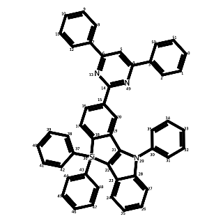 c1ccc(-c2cc(-c3ccccc3)nc(-c3ccc4c(c3)-c3c(c5ccccc5n3-c3ccccc3)[Si]4(c3ccccc3)c3ccccc3)n2)cc1